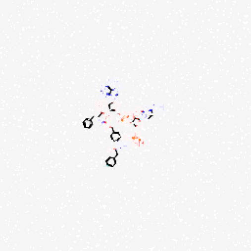 CN(C(=O)OCc1ccc(NC(=O)Cc2ccc(F)cc2)cc1)[C@@H](Cc1ccccc1)C(=O)O[C@H]1[C@@H](O)[C@H](n2cnc3c(N)ncnc32)O[C@@H]1COP(=O)(O)O[C@H]1[C@@H](O)[C@H](n2ccc(N)nc2=O)O[C@@H]1COP(=O)(O)O